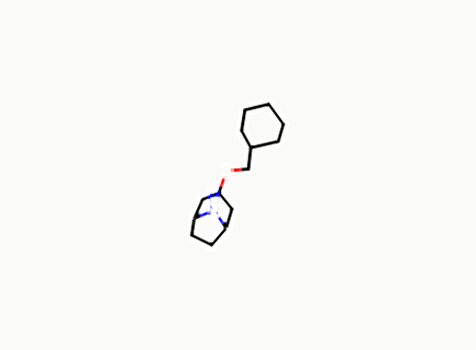 C1CCC(COC2CC3CCC(C2)N3)CC1